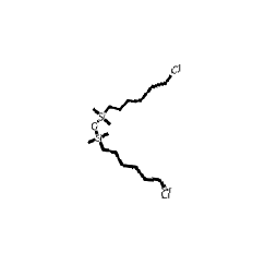 C[Si](C)(CCCCCCCl)O[Si](C)(C)CCCCCCCl